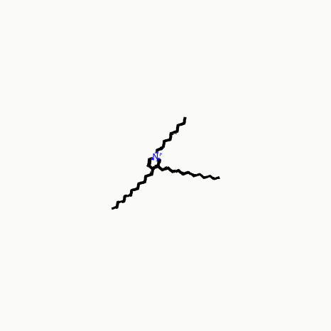 CCCCCCCCCCCCc1cc[n+](CCCCCCCCC)cc1CCCCCCCCCCCC